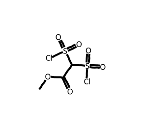 COC(=O)C(S(=O)(=O)Cl)S(=O)(=O)Cl